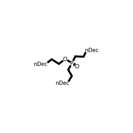 CCCCCCCCCCCCOP(=O)(CCCCCCCCCCCC)CCCCCCCCCCCC